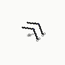 CCCCCCCC/C=C\CCCCCCCC(=O)[O-].CCCCCCCC/C=C\CCCCCCCC(=O)[O-].[Sn+2].[Sn]